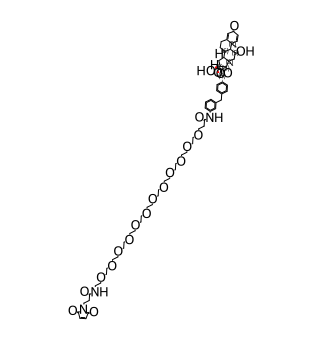 C[C@]12C=CC(=O)C=C1CC[C@@H]1C2[C@@H](O)C[C@@]2(C)C1C[C@H]1O[C@@H](c3ccc(Cc4cccc(NC(=O)CCOCCOCCOCCOCCOCCOCCOCCOCCOCCOCCOCCOCCNC(=O)CCN5C(=O)C=CC5=O)c4)cc3)O[C@]12C(=O)CO